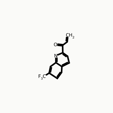 C=CC(=O)c1ccc2ccc(C(F)(F)F)cc2n1